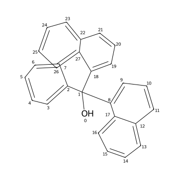 OC(c1ccccc1)(c1cccc2ccccc12)c1cccc2ccccc12